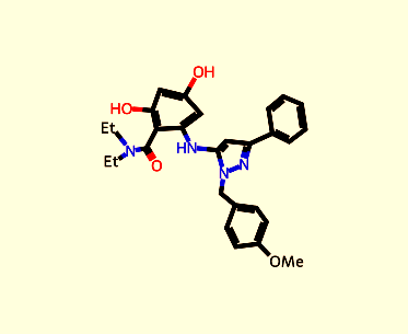 CCN(CC)C(=O)c1c(O)cc(O)cc1Nc1cc(-c2ccccc2)nn1Cc1ccc(OC)cc1